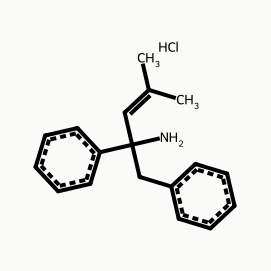 CC(C)=CC(N)(Cc1ccccc1)c1ccccc1.Cl